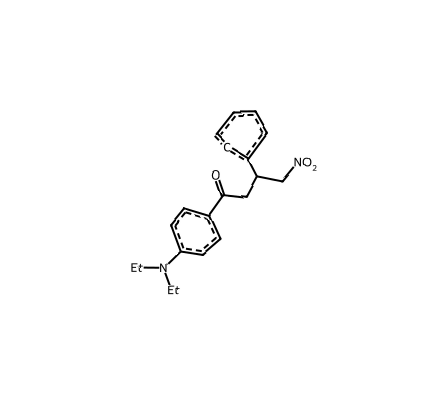 CCN(CC)c1ccc(C(=O)CC(C[N+](=O)[O-])c2ccccc2)cc1